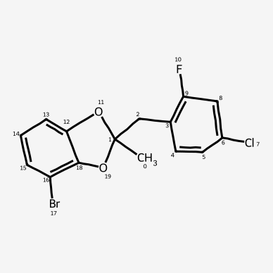 CC1(Cc2ccc(Cl)cc2F)Oc2cccc(Br)c2O1